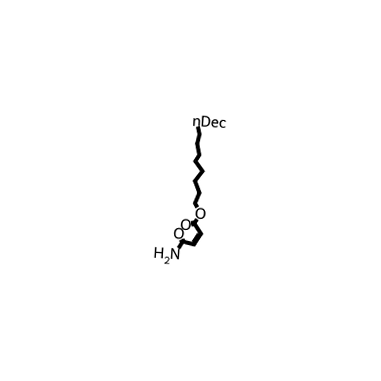 CCCCCCCCCCCCCCCCCCOC(=O)/C=C\C(N)=O